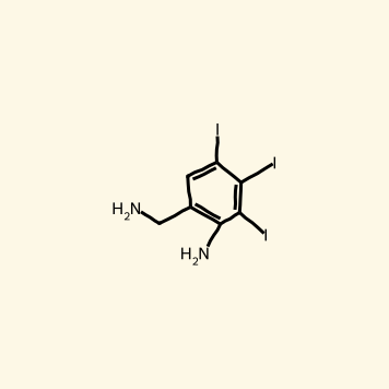 NCc1cc(I)c(I)c(I)c1N